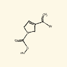 C=C(C1=CCN(C(=O)OC(C)(C)C)C1)C(C)C